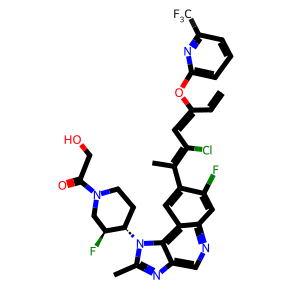 C=C/C(=C\C(Cl)=C(/C)c1cc2c(cc1F)ncc1nc(C)n([C@H]3CCN(C(=O)CO)C[C@@H]3F)c12)Oc1cccc(C(F)(F)F)n1